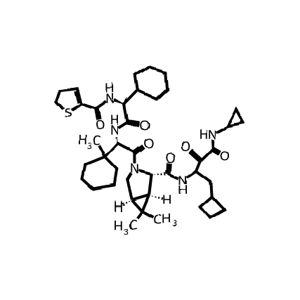 CC1([C@H](NC(=O)[C@@H](NC(=O)C2=CCCS2)C2CCCCC2)C(=O)N2C[C@H]3[C@@H]([C@H]2C(=O)NC(CC2CCC2)C(=O)C(=O)NC2CC2)C3(C)C)CCCCC1